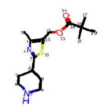 Cc1nc(C2CCNCC2)sc1COC(=O)C(C)(C)C